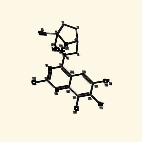 CC(C)(C)C12CCC(CN(c3nc(Cl)nc4c(Cl)c(Br)c(C(F)(F)F)cc34)C1)N2C(=O)O